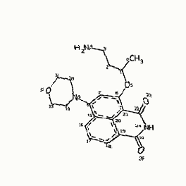 CC(CCN)Oc1cc(N2CCOCC2)c2cccc3c2c1C(=O)NC3=O